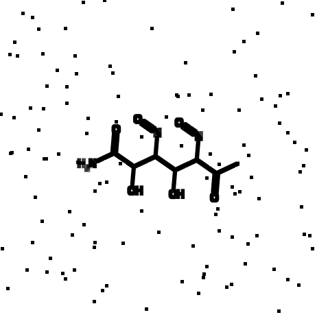 CC(=O)C(N=O)C(O)C(N=O)C(O)C(N)=O